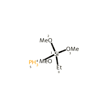 CC[Si](OC)(OC)OC.P